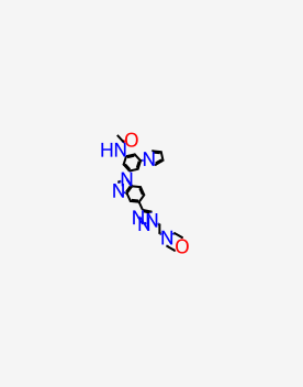 CC(=O)Nc1cc(-n2cccc2)cc(-n2cnc3cc(-c4cn(CCN5CCOCC5)nn4)ccc32)c1